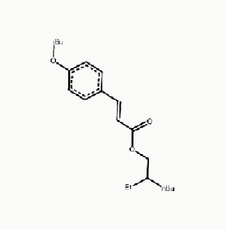 CCCCC(CC)COC(=O)/C=C/c1ccc(OC(C)CC)cc1